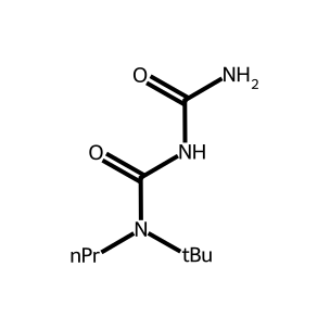 CCCN(C(=O)NC(N)=O)C(C)(C)C